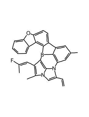 C=Cc1cn2c(C)c(/C=C(\C)F)c3c2n1-c1cc(C)cc2c1B3c1c-2ccc2oc3ccccc3c12